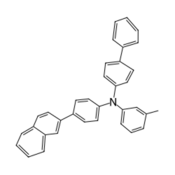 Cc1cccc(N(c2ccc(-c3ccccc3)cc2)c2ccc(-c3ccc4ccccc4c3)cc2)c1